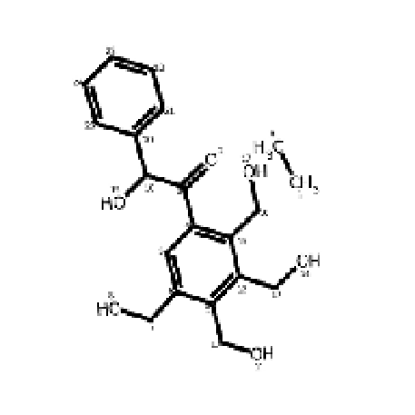 CC.O=C(c1cc(CO)c(CO)c(CO)c1CO)C(O)c1ccccc1